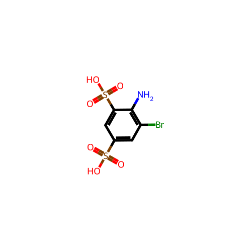 Nc1c(Br)cc(S(=O)(=O)O)cc1S(=O)(=O)O